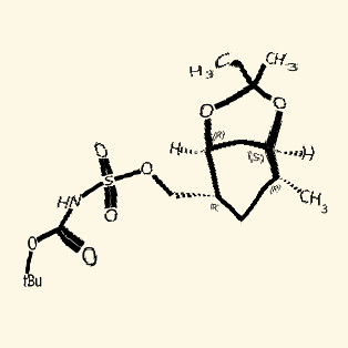 C[C@@H]1C[C@H](COS(=O)(=O)NC(=O)OC(C)(C)C)[C@H]2OC(C)(C)O[C@H]21